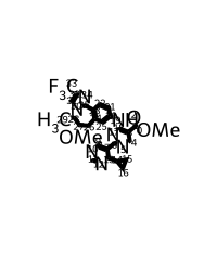 COC(=O)c1cnc(-c2c(OC)ncnc2C2CC2)nc1Nc1ccc2c(c1)CCC(C)n1cc(C(F)(F)F)nc1-2